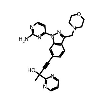 CC(O)(C#Cc1ccc2c(CN3CCOCC3)nn(-c3ccnc(N)n3)c2c1)c1ncccn1